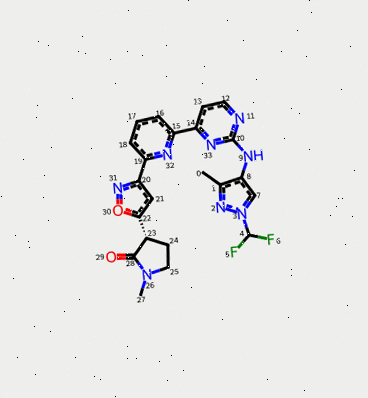 Cc1nn(C(F)F)cc1Nc1nccc(-c2cccc(-c3cc([C@@H]4CCN(C)C4=O)on3)n2)n1